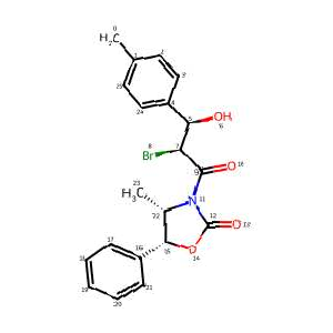 Cc1ccc([C@@H](O)[C@H](Br)C(=O)N2C(=O)O[C@H](c3ccccc3)[C@@H]2C)cc1